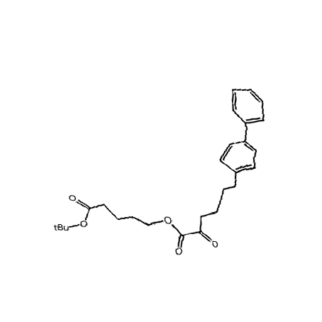 CC(C)(C)OC(=O)CCCCOC(=O)C(=O)CCCCc1ccc(-c2ccccc2)cc1